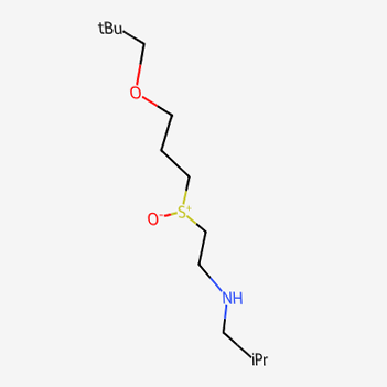 CC(C)CNCC[S+]([O-])CCCOCC(C)(C)C